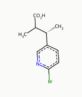 CC(C(=O)O)[C@H](C)c1ccc(Br)nc1